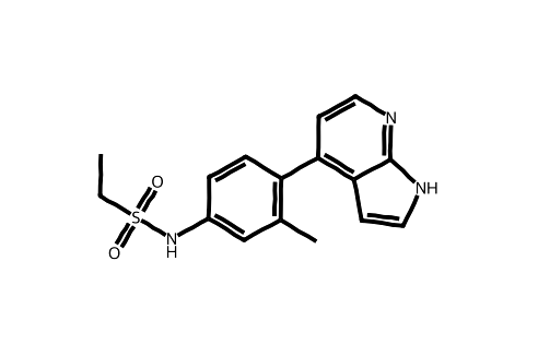 CCS(=O)(=O)Nc1ccc(-c2ccnc3[nH]ccc23)c(C)c1